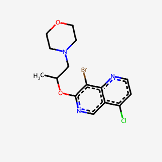 CC(CN1CCOCC1)Oc1ncc2c(Cl)ccnc2c1Br